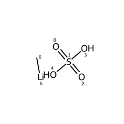 O=S(=O)(O)O.[Li][CH3]